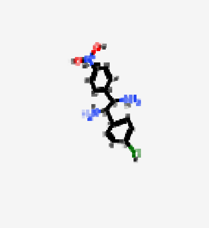 NC(c1ccc(Cl)cc1)C(N)c1ccc([N+](=O)[O-])cc1